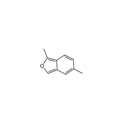 [CH2]c1occ2cc(C)ccc12